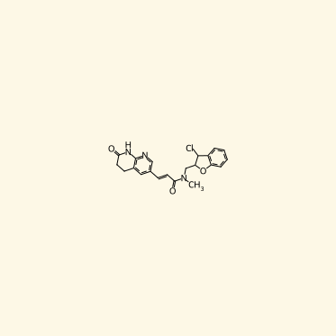 CN(CC1Oc2ccccc2C1Cl)C(=O)/C=C/c1cnc2c(c1)CCC(=O)N2